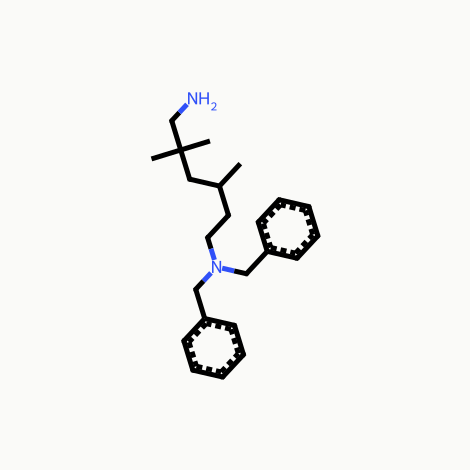 CC(CCN(Cc1ccccc1)Cc1ccccc1)CC(C)(C)CN